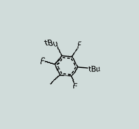 Cc1c(F)c(C(C)(C)C)c(F)c(C(C)(C)C)c1F